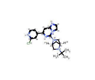 CC(C)(C)N1C[C@@H]2C[C@H]1CN2c1nc(-c2ccnc(Cl)c2)cc2nccn12